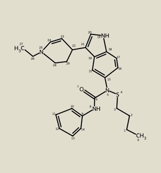 CCCCSN(C(=O)Nc1ccccc1)c1ccc2[nH]cc(C3C=CN(CC)CC3)c2c1